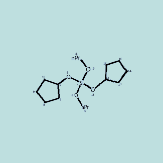 CCCO[Si](OCCC)(OC1CCCC1)OC1CCCC1